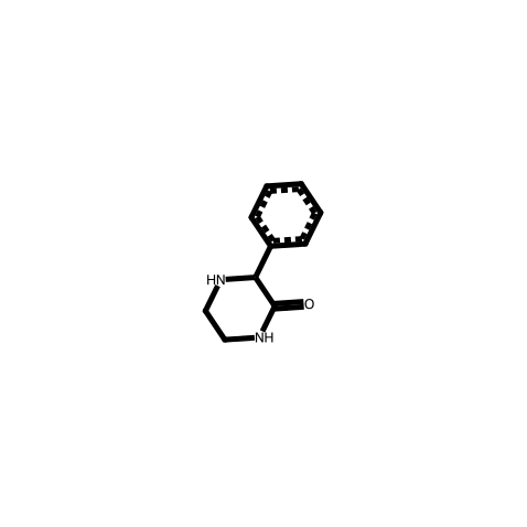 O=C1NCCNC1c1ccccc1